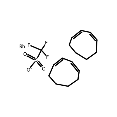 C1=CCCCCC=C1.C1=CCCCCC=C1.O=S(=O)([O-])C(F)(F)F.[Rh+]